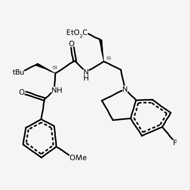 CCOC(=O)C[C@@H](CN1CCc2cc(F)ccc21)NC(=O)[C@H](CC(C)(C)C)NC(=O)c1cccc(OC)c1